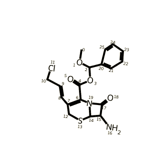 COC(OC(=O)C1=C(C=CCCl)CSC2C(N)C(=O)N12)c1ccccc1